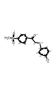 CS(=O)(=O)c1ccc(C(=O)CSc2ccc(Cl)cc2)cc1